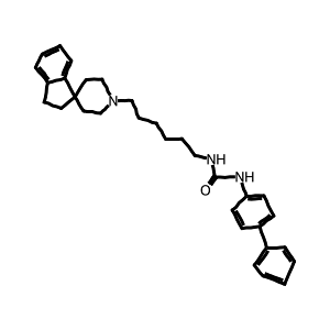 O=C(NCCCCCCN1CCC2(CCc3ccccc32)CC1)Nc1ccc(-c2ccccc2)cc1